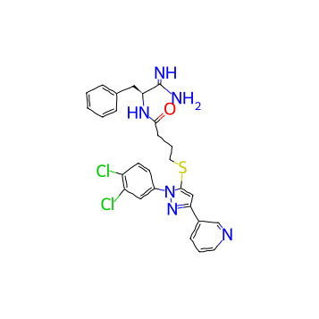 N=C(N)[C@H](Cc1ccccc1)NC(=O)CCCSc1cc(-c2cccnc2)nn1-c1ccc(Cl)c(Cl)c1